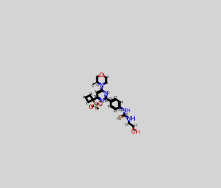 C[C@H]1COCCN1c1cc(C2(S(C)(=O)=O)CCC2)nc(-c2ccc(NC(=S)NCCO)cc2)n1